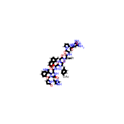 CC(=O)Oc1ccc(C[C@H](NC(=O)[C@H](CO)NC(=O)[C@H](Cc2c[nH]c3ccccc23)NC(=O)[C@H](Cc2c[nH]cn2)NC(=O)[C@@H]2CCC(=O)N2)C(=O)N[C@H](Cc2ccc3ccccc3c2)C(=O)N[C@@H](CC(C)C)C(=O)N[C@@H](CCCNC(=N)N)C(=O)N2CCC[C@H]2C(=O)NCC(N)=O)cc1